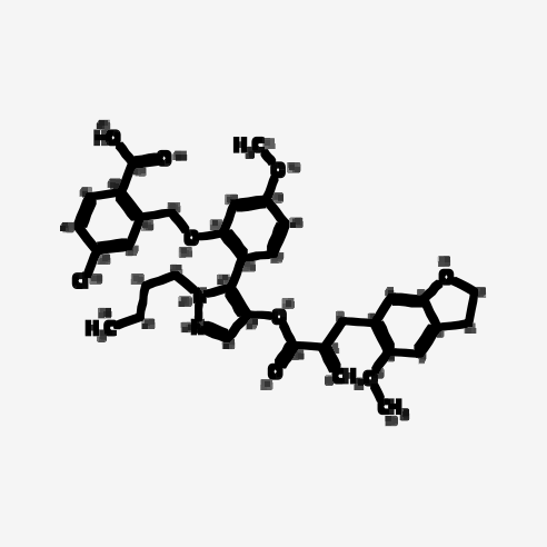 C=C(Cc1cc2c(cc1OC)CCO2)C(=O)Oc1cnn(CCCC)c1-c1ccc(OC)cc1OCc1cc(Cl)ccc1C(=O)O